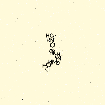 Cc1nc(C(=O)NCc2ccc(F)c(Cl)c2)cc(C2=NO[C@H](C3CCC(NC[C@H](C)O)CC3)C2)n1